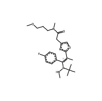 CNN(/C(=C(\C)c1nc(CC(=O)N(C)CCCOC)cs1)c1ccc(F)cc1)C(C)(C)C